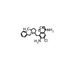 COc1c(C(N)=O)cc(Cl)c(N)c1CC1CCC(C)N1Cc1ccccc1